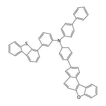 C1=CC(N(c2ccc(-c3ccccc3)cc2)c2cccc(-c3cccc4c3sc3ccccc34)c2)CC=C1c1ccc2c(ccc3oc4ccccc4c32)c1